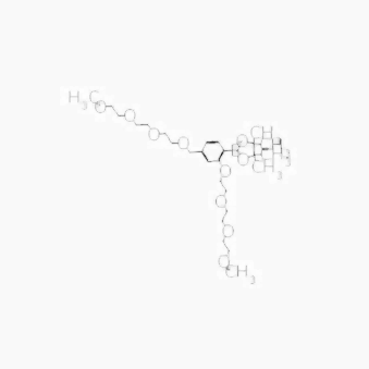 COCCOCCOCCOCc1ccc(B2OC(C)(C)C(C)(C)O2)c(OCCOCCOCCOC)c1